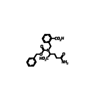 NC(=O)CCC(C(=O)O)N(Cc1ccccc1C(=O)O)C(=O)OCc1ccccc1